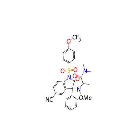 COc1ccccc1[C@]1(N(C)C(C)C(=O)N(C)C)C(=O)N(S(=O)(=O)c2ccc(OC(F)(F)F)cc2)c2ccc(C#N)cc21